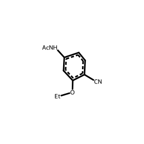 CCOc1cc(NC(C)=O)ccc1C#N